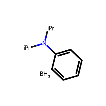 B.CC(C)N(c1ccccc1)C(C)C